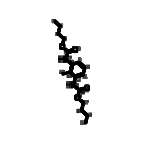 CCCCOC(=O)Nc1cccc(NC(=O)OCCCC)c1C